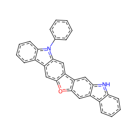 c1ccc(-n2c3ccccc3c3cc4oc5cc6c(cc5c4cc32)[nH]c2ccccc26)cc1